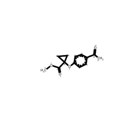 COC(=O)C1(Oc2ccc(C(C)=O)cc2)CC1